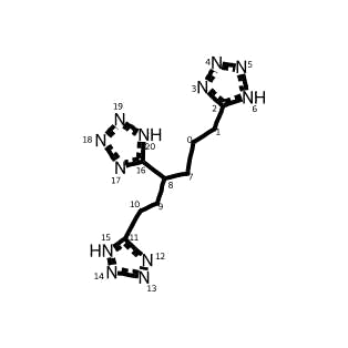 C(Cc1nnn[nH]1)CC(CCc1nnn[nH]1)c1nnn[nH]1